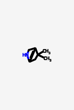 CC1(C)CC2C=CC1CN2